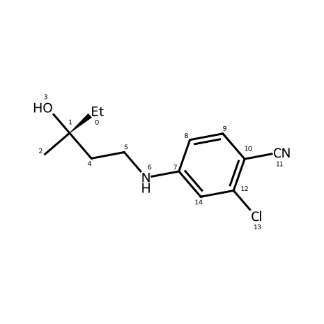 CC[C@@](C)(O)CCNc1ccc(C#N)c(Cl)c1